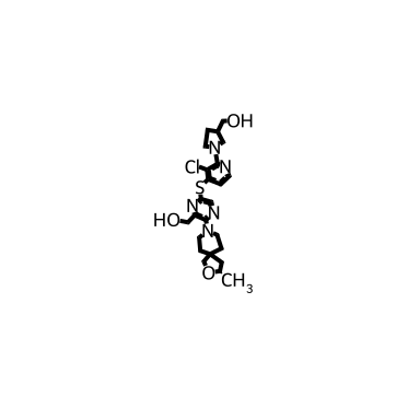 C[C@H]1CC2(CCN(c3ncc(Sc4ccnc(N5CCC(CO)C5)c4Cl)nc3CO)CC2)CO1